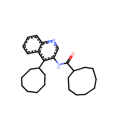 O=C(Nc1cnc2ccccc2c1C1CCCCCCC1)C1CCCCCCCC1